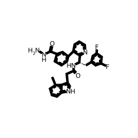 Cc1cccc2[nH]cc(CC(=O)N[C@@H](Cc3cc(F)cc(F)c3)c3ncccc3-c3cccc(C(=O)NN)c3)c12